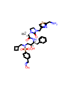 CC[C@H](C)[C@@H](C(=O)N[C@@H](Cc1ccccc1)[C@@H](O)CN(CC1CCC1)S(=O)(=O)c1ccc(C=NO)cc1)N1CCN(Cc2csc(CN)n2)C1=O